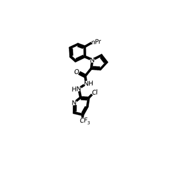 CCCc1ccccc1-n1cccc1C(=O)NNc1ncc(C(F)(F)F)cc1Cl